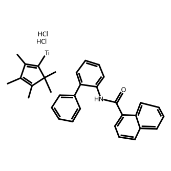 CC1=C(C)C(C)(C)[C]([Ti])=C1C.Cl.Cl.O=C(Nc1ccccc1-c1ccccc1)c1cccc2ccccc12